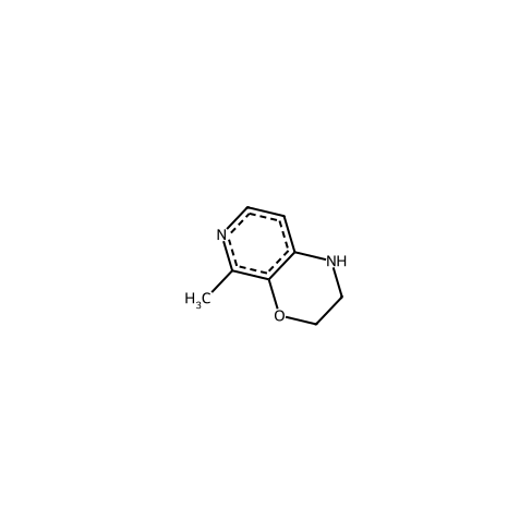 Cc1nccc2c1OCCN2